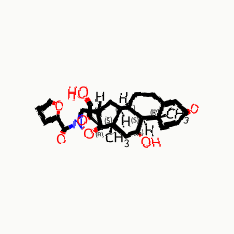 C[C@]12C=CC(=O)C=C1CC[C@@H]1[C@@H]2[C@@H](O)C[C@@]2(C)[C@H]1C[C@H]1CN(C(=O)c3ccco3)O[C@]12C(=O)CO